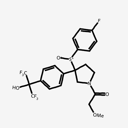 COCC(=O)N1CCC(c2ccc(C(O)(C(F)(F)F)C(F)(F)F)cc2)([S+]([O-])c2ccc(F)cc2)C1